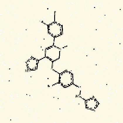 CN1CC(Oc2ccc(SNc3cscn3)cc2C#N)=C(c2cn[nH]c2)C=C1c1ccc(F)c(F)c1